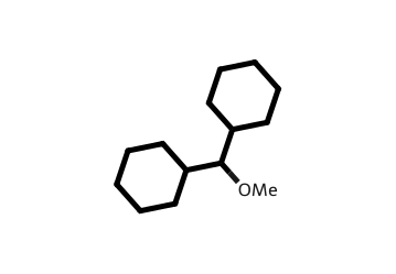 CO[C](C1CCCCC1)C1CCCCC1